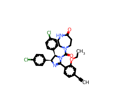 C#Cc1ccc(C2=N[C@@H](c3ccc(Cl)cc3)[C@@H](c3ccc(Cl)cc3)N2C(=O)N2CCNC(=O)CC2)c(OCC)c1